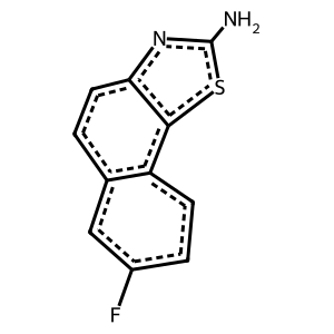 Nc1nc2ccc3cc(F)ccc3c2s1